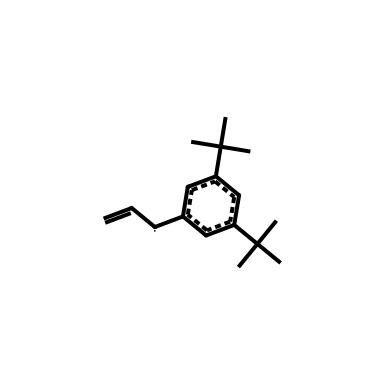 C=C[CH]c1cc(C(C)(C)C)cc(C(C)(C)C)c1